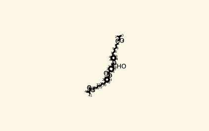 C=C(C)C(=O)OCCCCCCc1ccc(OCC2(C=O)CCC(C(=O)Oc3ccc(CCCCCCOC(=O)C(=C)C)cc3)CC2)cc1